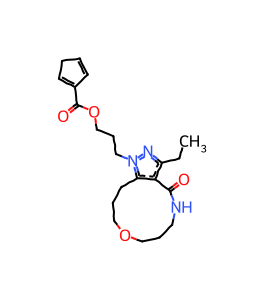 CCc1nn(CCCOC(=O)C2=CCC=C2)c2c1C(=O)NCCCOCCC2